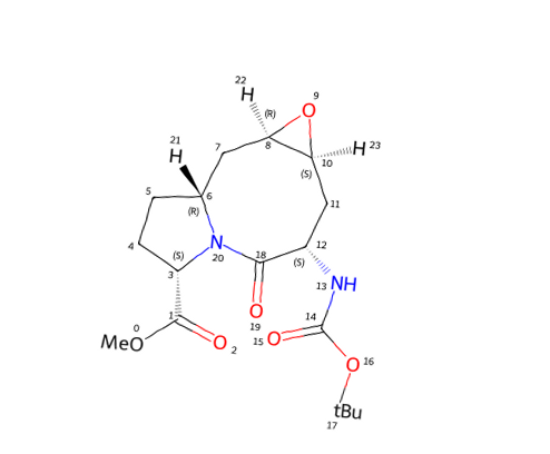 COC(=O)[C@@H]1CC[C@@H]2C[C@H]3O[C@H]3C[C@H](NC(=O)OC(C)(C)C)C(=O)N21